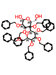 OC[C@H]1O[C@H](O)[C@H](OCc2ccccc2)[C@@H](OCc2ccccc2)[C@@]1(OCc1ccccc1)[C@@H]1O[C@H](COCc2ccccc2)[C@H](OCc2ccccc2)[C@H](OCc2ccccc2)[C@H]1OCc1ccccc1